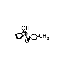 CC1CCN(C(=O)n2nc(O)c3ccccc32)CC1